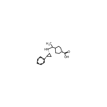 CC(N[C@@H]1C[C@H]1c1ccccc1)C1CCN(C(=O)O)CC1